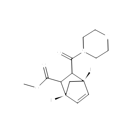 COC(=O)C1C(C(=O)N2CCOCC2)[C@@H]2C=C[C@H]1C2